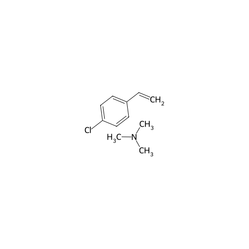 C=Cc1ccc(Cl)cc1.CN(C)C